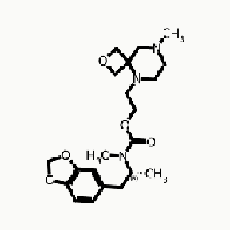 C[C@H](Cc1ccc2c(c1)OCO2)N(C)C(=O)OCCN1CCN(C)CC12COC2